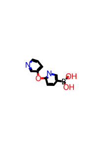 OB(O)c1ccc(Oc2cccnc2)nc1